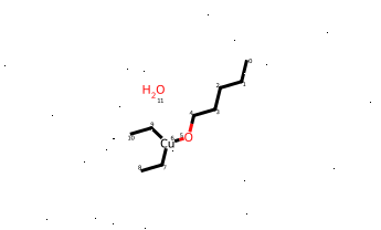 CCCCC[O][Cu]([CH2]C)[CH2]C.O